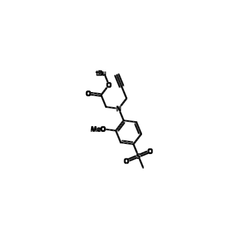 C#CCN(CC(=O)OC(C)(C)C)c1ccc(S(C)(=O)=O)cc1OC